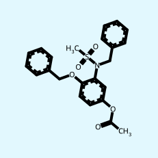 CC(=O)Oc1ccc(OCc2ccccc2)c(N(Cc2ccccc2)S(C)(=O)=O)c1